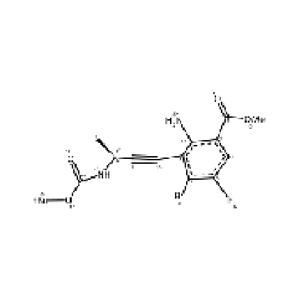 COC(=O)c1cc(F)c(Br)c(C#C[C@H](C)NC(=O)OC(C)(C)C)c1N